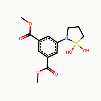 COC(=O)c1cc(C(=O)OC)cc(N2CCCS2(O)O)c1